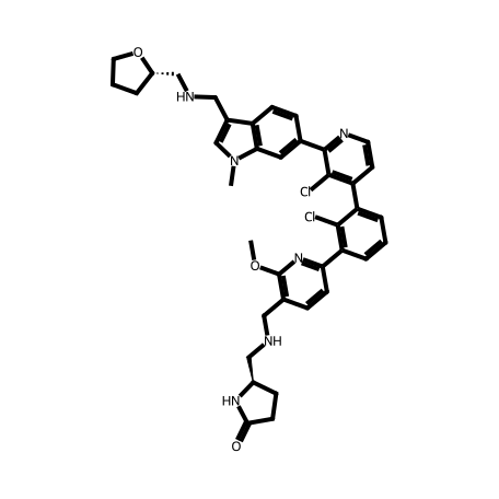 COc1nc(-c2cccc(-c3ccnc(-c4ccc5c(CNC[C@@H]6CCCO6)cn(C)c5c4)c3Cl)c2Cl)ccc1CNC[C@H]1CCC(=O)N1